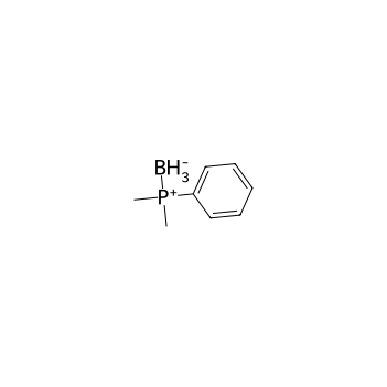 [BH3-][P+](C)(C)c1ccccc1